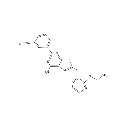 CCOc1ncccc1Cc1cc2c(N)nc(-c3cccc(C#N)c3)nc2s1